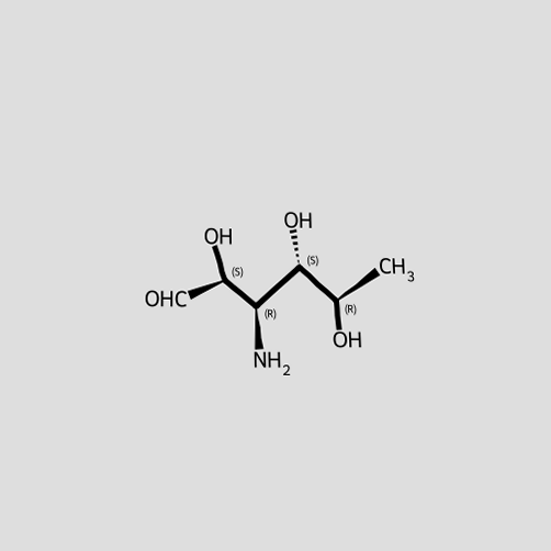 C[C@@H](O)[C@@H](O)[C@@H](N)[C@H](O)C=O